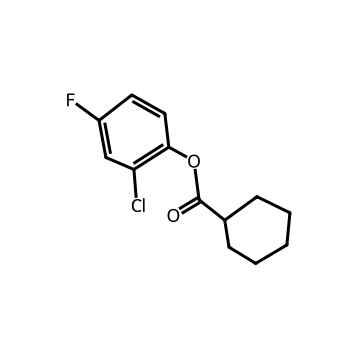 O=C(Oc1ccc(F)cc1Cl)C1CCCCC1